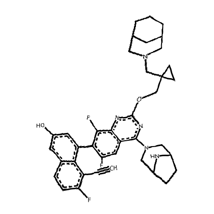 C#Cc1c(F)ccc2cc(O)cc(-c3c(F)cc4c(N5CC6CCC(C5)N6)nc(OCC5(CN6CC7CCCC(C7)C6)CC5)nc4c3F)c12